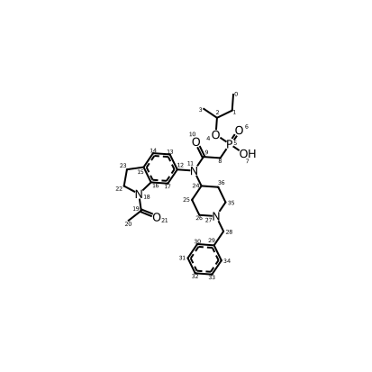 CCC(C)OP(=O)(O)CC(=O)N(c1ccc2c(c1)N(C(C)=O)CC2)C1CCN(Cc2ccccc2)CC1